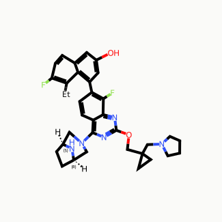 CCc1c(F)ccc2cc(O)cc(-c3ccc4c(N5C[C@H]6CC[C@@H](C5)N6)nc(OCC5(CN6CCCC6)CC5)nc4c3F)c12